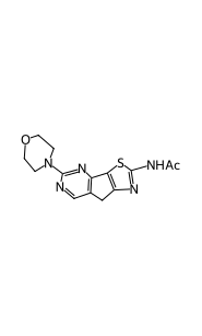 CC(=O)Nc1nc2c(s1)-c1nc(N3CCOCC3)ncc1C2